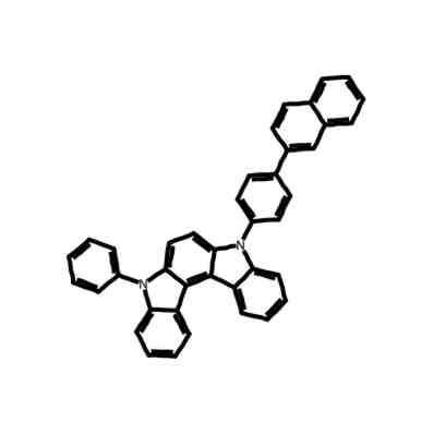 c1ccc(-n2c3ccccc3c3c4c5ccccc5n(-c5ccc(-c6ccc7ccccc7c6)cc5)c4ccc32)cc1